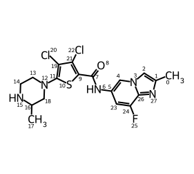 Cc1cn2cc(NC(=O)c3sc(N4CCNC(C)C4)c(Cl)c3Cl)cc(F)c2n1